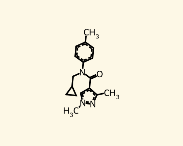 Cc1ccc(N(CC2CC2)C(=O)c2cn(C)nc2C)cc1